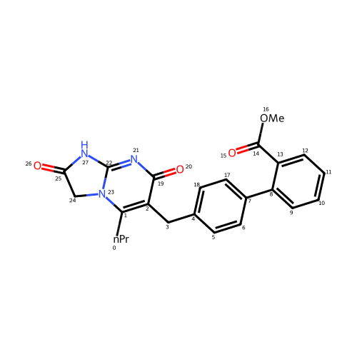 CCCc1c(Cc2ccc(-c3ccccc3C(=O)OC)cc2)c(=O)nc2n1CC(=O)N2